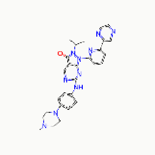 CC(C)n1c(=O)c2cnc(Nc3ccc(N4CCN(C)CC4)cc3)nc2n1-c1cccc(-c2cnccn2)n1